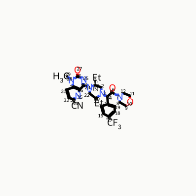 CC[C@H]1CN(C(C(=O)N2CCOCC2)c2ccc(C(F)(F)F)cc2)[C@H](CC)CN1c1nc(=O)n(C)c2ccc(C#N)nc12